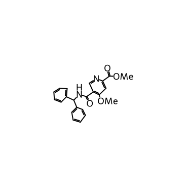 COC(=O)c1cc(OC)c(C(=O)NC(c2ccccc2)c2ccccc2)cn1